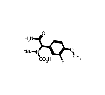 CC(C)(C)N(C(=O)O)C(C(N)=O)c1ccc(OC(F)(F)F)c(F)c1